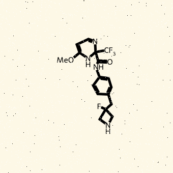 COC1=CC=NC(C(=O)Nc2ccc(CC3(F)CNC3)cc2)(C(F)(F)F)N1